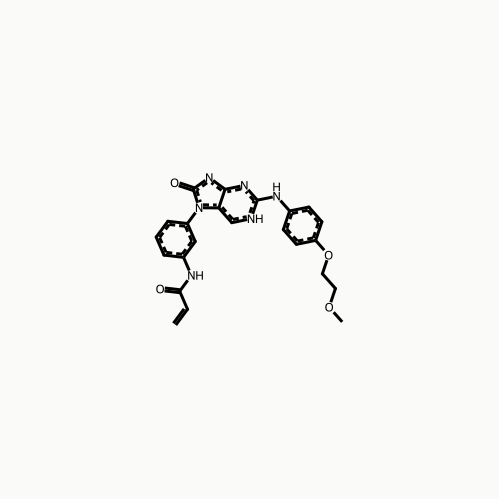 C=CC(=O)Nc1cccc(-n2c3c[nH]c(Nc4ccc(OCCOC)cc4)nc-3nc2=O)c1